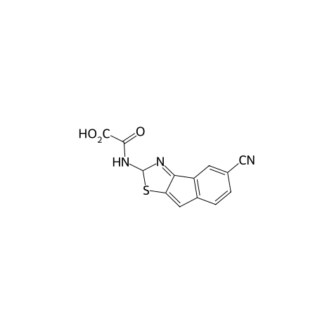 N#Cc1ccc2c(c1)C1=NC(NC(=O)C(=O)O)SC1=C2